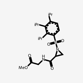 COC(=O)CNC(=O)C1CN1S(=O)(=O)c1ccc(C(C)C)c(C(C)C)c1C(C)C